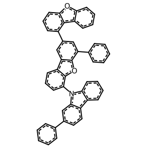 c1ccc(-c2ccc3c4ccccc4n(-c4cccc5c4oc4c(-c6ccccc6)cc(-c6cccc7oc8ccccc8c67)cc45)c3c2)cc1